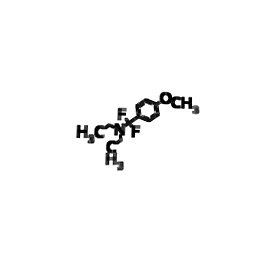 CCN(CC)C(F)(F)c1ccc(OC)cc1